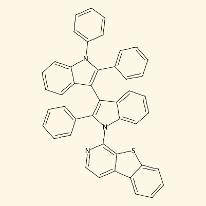 c1ccc(-c2c(-c3c(-c4ccccc4)n(-c4nccc5c4sc4ccccc45)c4ccccc34)c3ccccc3n2-c2ccccc2)cc1